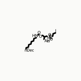 CCCCCCCCCCCCCCCCCCNC(=O)OCC(CNS(=O)(=O)CCCI)CC(C)=O